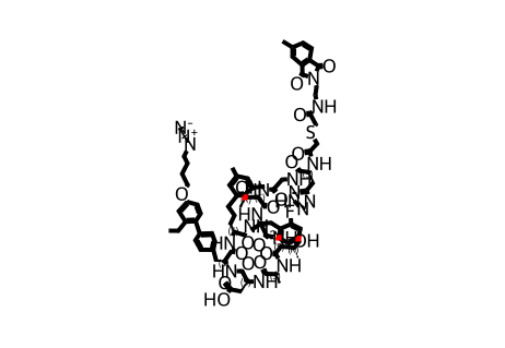 CCc1cc(OCCCCN=[N+]=[N-])ccc1-c1ccc(C[C@H](NC(=O)[C@H](CC(=O)O)NC(=O)[C@H](C)NC(=O)[C@@H](NC(=O)C(C)(Cc2ccccc2F)NC(=O)[C@@H](NC(=O)CNC(=O)[C@H](Cc2nn[nH]n2)NC(=O)CSCC(=O)NCCN2C(=O)c3ccc(C)cc3C2=O)[C@@H](C)O)[C@@H](C)O)C(=O)N[C@@H](CCCc2cc(C)cc(C)c2)C(N)=O)cc1